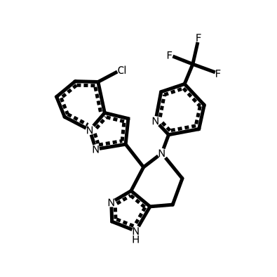 FC(F)(F)c1ccc(N2CCc3[nH]cnc3C2c2cc3c(Cl)cccn3n2)nc1